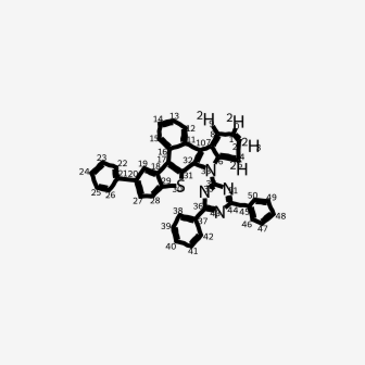 [2H]c1c([2H])c([2H])c2c(c1[2H])c1c3ccccc3c3c4cc(-c5ccccc5)ccc4sc3c1n2-c1nc(-c2ccccc2)nc(-c2ccccc2)n1